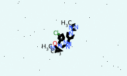 Cc1cncc(N2CCC(c3nnc4n3-c3ccc(Cl)cc3CN(C3(C(=O)N(C)C)CC3)C4)CC2)n1